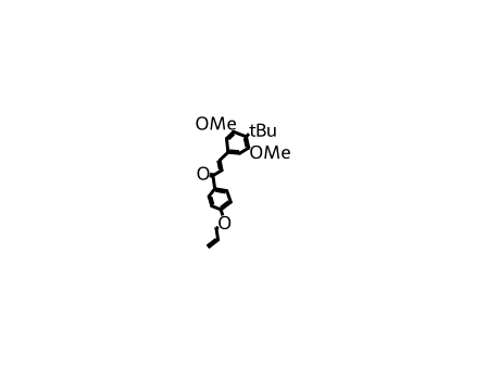 C=CCOc1ccc(C(=O)C=Cc2cc(OC)c(C(C)(C)C)c(OC)c2)cc1